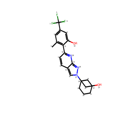 Cc1cc(C(F)(F)F)cc(O)c1-c1ccc2cn(C34CCCC(O)(C3)C4)nc2n1